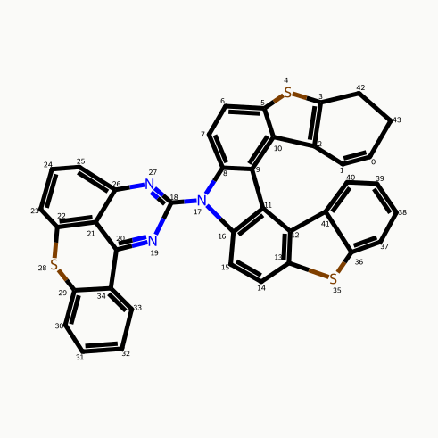 C1=Cc2c(sc3ccc4c(c23)c2c3c(ccc2n4-c2nc4c5c(cccc5n2)Sc2ccccc2-4)sc2ccccc23)CC1